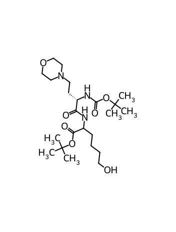 CC(C)(C)OC(=O)N[C@@H](CCN1CCOCC1)C(=O)NC(CCCCO)C(=O)OC(C)(C)C